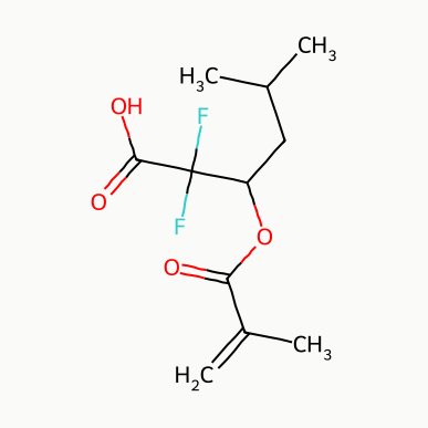 C=C(C)C(=O)OC(CC(C)C)C(F)(F)C(=O)O